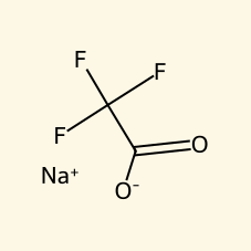 O=C([O-])C(F)(F)F.[Na+]